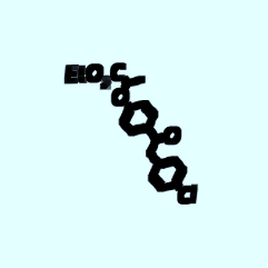 CCOC(=O)C(C)Oc1ccc(C(=O)Cc2ccc(Cl)cc2)cc1